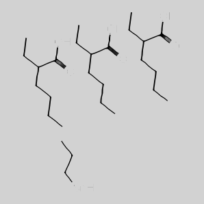 CCCCC(CC)C(=O)O.CCCCC(CC)C(=O)O.CCCCC(CC)C(=O)O.CC[CH2][SnH]